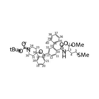 COC(=O)C(CCSC)NC(=O)c1ccc(COC2(c3ccccc3)CCN(C(=O)OC(C)(C)C)CC2)cc1-c1ccccc1C